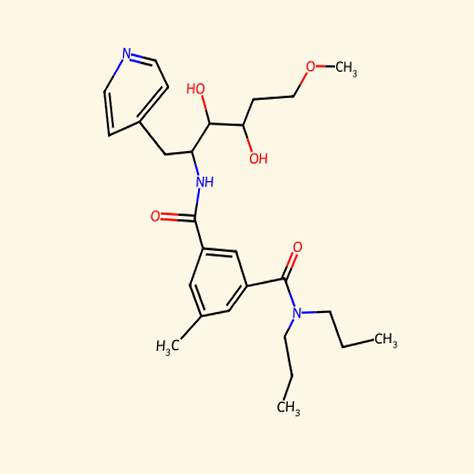 CCCN(CCC)C(=O)c1cc(C)cc(C(=O)NC(Cc2ccncc2)C(O)C(O)CCOC)c1